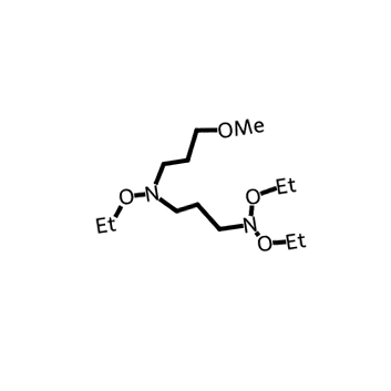 CCON(CCCOC)CCCN(OCC)OCC